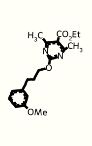 CCOC(=O)c1c(C)nc(OCCCc2cccc(OC)c2)nc1C